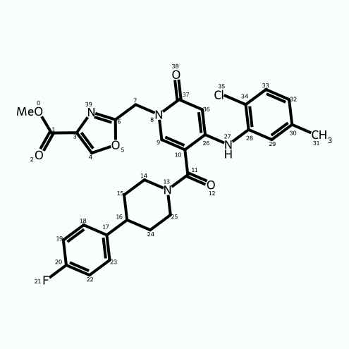 COC(=O)c1coc(Cn2cc(C(=O)N3CCC(c4ccc(F)cc4)CC3)c(Nc3cc(C)ccc3Cl)cc2=O)n1